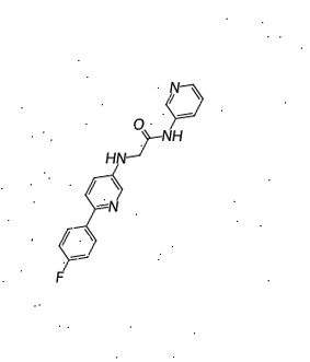 O=C(CNc1ccc(-c2ccc(F)cc2)nc1)Nc1cccnc1